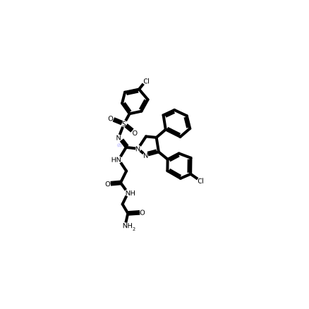 NC(=O)CNC(=O)CN/C(=N/S(=O)(=O)c1ccc(Cl)cc1)N1CC(c2ccccc2)C(c2ccc(Cl)cc2)=N1